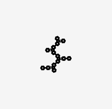 c1ccc(-c2ccc(-n3c4ccccc4c4cc(-c5ccc6c(c5)c5cc(-c7ccc8c(c7)c7cc(-c9ccc%10c(c9)c9ccccc9n%10-c9ccccc9)ccc7n8-c7ccccc7)ccc5n6-c5ccc(-c6ccccc6)cc5)ccc43)cc2)cc1